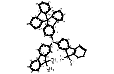 CC1(C)C2=C(C=CCC2)c2ccc(N(c3ccc4c(c3)-c3ccccc3C43c4ccccc4-c4ccccc43)c3ccc4c(c3)C(C)(C)c3ccccc3-4)cc21